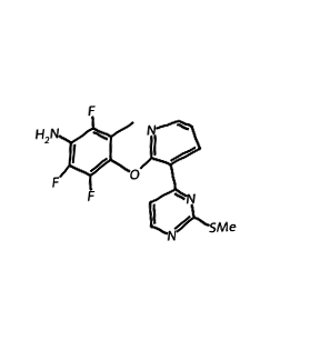 CSc1nccc(-c2cccnc2Oc2c(C)c(F)c(N)c(F)c2F)n1